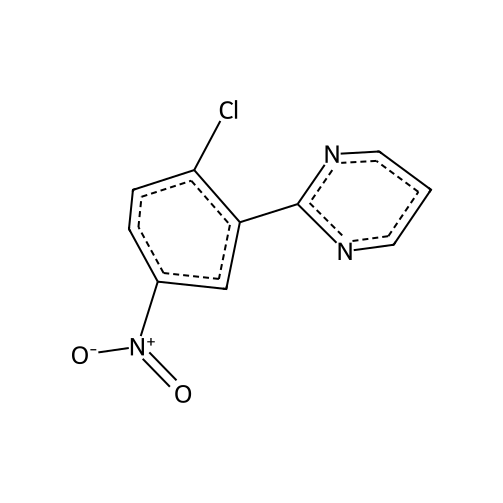 O=[N+]([O-])c1ccc(Cl)c(-c2ncccn2)c1